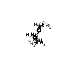 CC(C)(C)Nc1ncc(N)c(NCC2CCN(C(=O)OC(C)(C)C)CC2)n1